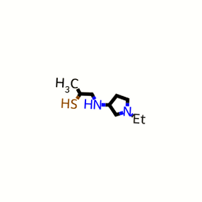 CCN1CCC(NCC(C)S)C1